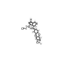 Cc1ccc(Oc2ccc(Nc3cncc4[nH]nc(OCCCl)c34)cc2Cl)cn1